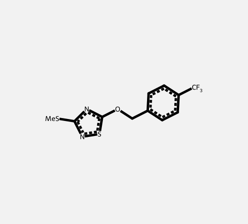 CSc1nsc(OCc2ccc(C(F)(F)F)cc2)n1